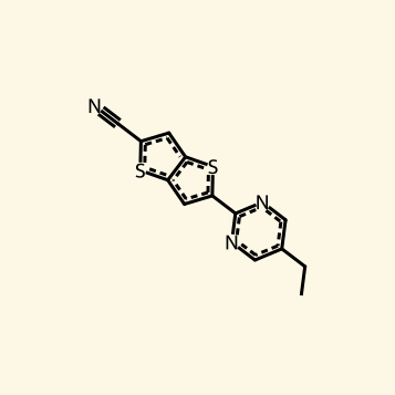 CCc1cnc(-c2cc3sc(C#N)cc3s2)nc1